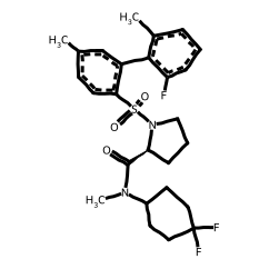 Cc1ccc(S(=O)(=O)N2CCC[C@H]2C(=O)N(C)C2CCC(F)(F)CC2)c(-c2c(C)cccc2F)c1